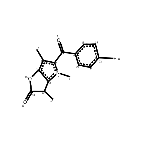 Cc1c2c(n(C)c1C(=O)c1ccc(F)cc1)C(C)C(=O)O2